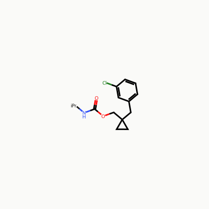 CC(C)NC(=O)OCC1(Cc2cccc(Cl)c2)CC1